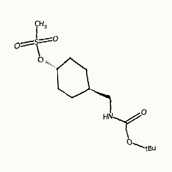 CC(C)(C)OC(=O)NC[C@H]1CC[C@H](OS(C)(=O)=O)CC1